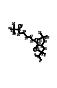 CC(C)C(C)(C)CC(CC(C)(C)C)C(=O)OCCCCCC(=O)C(C)(C)C